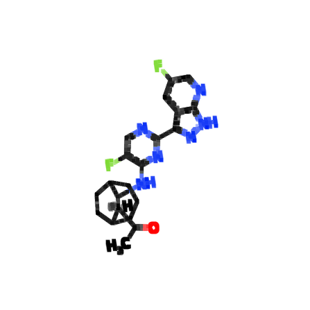 CC(=O)[C@H]1C2CCCC(CC2)C1Nc1nc(-c2n[nH]c3ncc(F)cc23)ncc1F